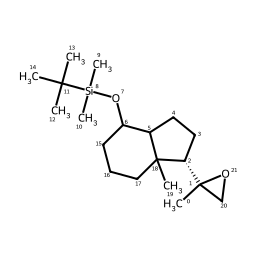 CC1([C@H]2CCC3C(O[Si](C)(C)C(C)(C)C)CCCC32C)CO1